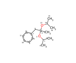 CC(C)O[Si](C)(Cc1ccccc1)OC(C)C